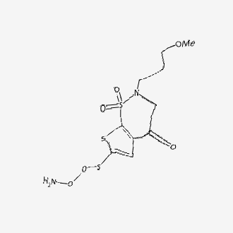 COCCCN1CC(=O)c2cc(SOON)sc2S1(=O)=O